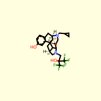 Oc1ccc2c(c1)[C@]13CCN(CC4CC4)[C@H](C2)[C@]12CCC1C3[C@@H](CN1CC(O)(C(F)(F)F)C(F)(F)F)C2